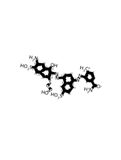 Cc1ccc(C(N)=O)cc1N=Nc1ccc(N=Nc2c(SOOO)cc3cc(S(=O)(=O)O)c(N)cc3c2O)c2cc(S(=O)(=O)O)ccc12